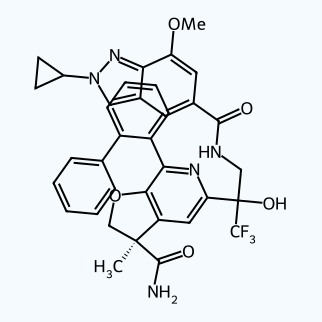 COc1cc(C(=O)NCC(O)(c2cc3c(c(-c4ccccc4-c4ccccc4)n2)OC[C@]3(C)C(N)=O)C(F)(F)F)cc2cn(C3CC3)nc12